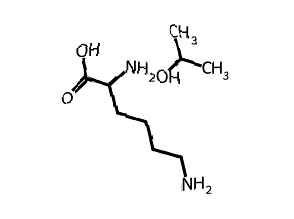 CC(C)O.NCCCCC(N)C(=O)O